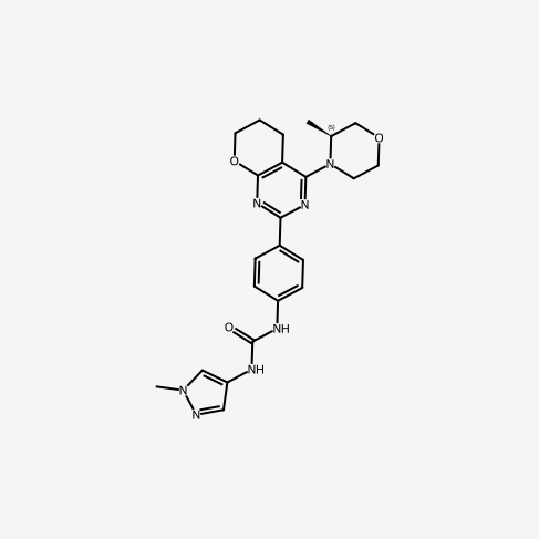 C[C@H]1COCCN1c1nc(-c2ccc(NC(=O)Nc3cnn(C)c3)cc2)nc2c1CCCO2